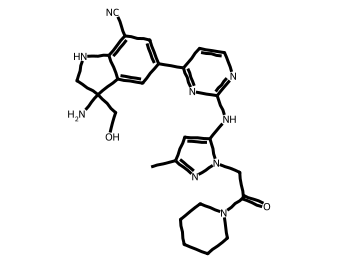 Cc1cc(Nc2nccc(-c3cc(C#N)c4c(c3)C(N)(CO)CN4)n2)n(CC(=O)N2CCCCC2)n1